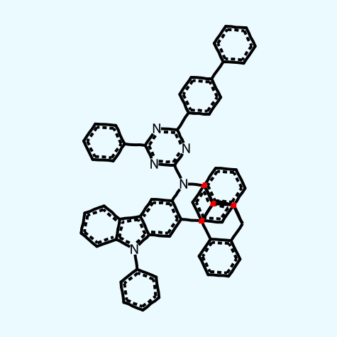 c1ccc(-c2ccc(-c3nc(-c4ccccc4)nc(N4c5cc6c7ccccc7n(-c7ccccc7)c6cc5C56c7ccccc7C(c7ccccc75)c5cccc4c56)n3)cc2)cc1